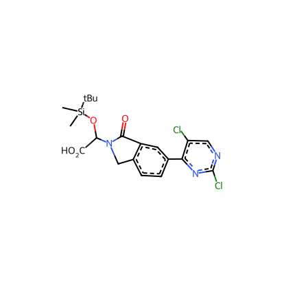 CC(C)(C)[Si](C)(C)OC(C(=O)O)N1Cc2ccc(-c3nc(Cl)ncc3Cl)cc2C1=O